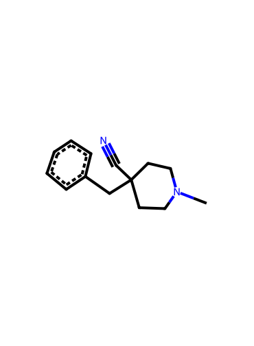 CN1CCC(C#N)(Cc2ccccc2)CC1